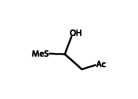 CSC(O)CC(C)=O